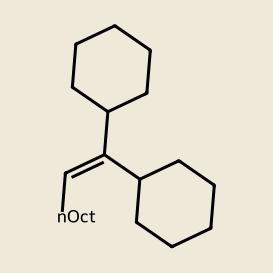 CCCCCCCCC=C(C1CCCCC1)C1CCCCC1